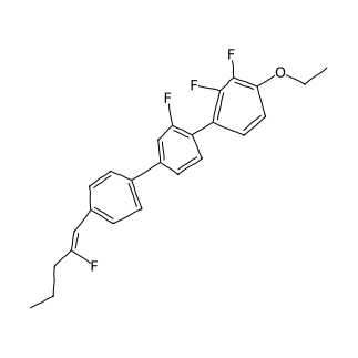 CCC/C(F)=C/c1ccc(-c2ccc(-c3ccc(OCC)c(F)c3F)c(F)c2)cc1